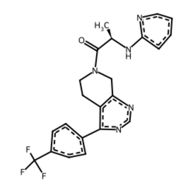 C[C@@H](Nc1ccccn1)C(=O)N1CCc2c(ncnc2-c2ccc(C(F)(F)F)cc2)C1